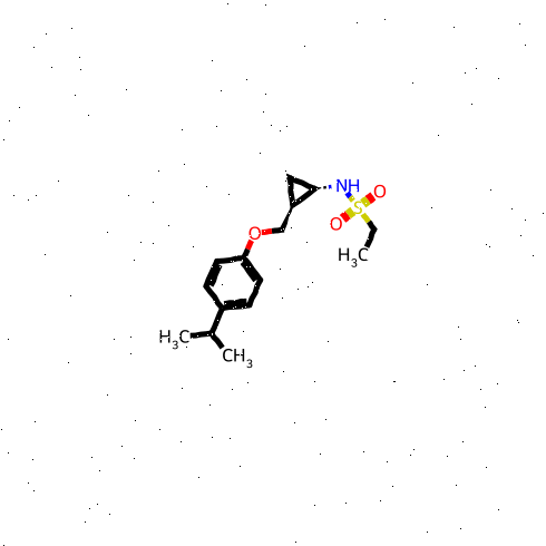 CCS(=O)(=O)N[C@H]1C[C@@H]1COc1ccc(C(C)C)cc1